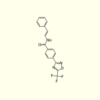 O=C(NC=Cc1ccccc1)c1ccc(-c2noc(C(F)(F)F)n2)cc1